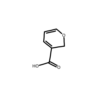 O=C(O)C1=CC=COC1